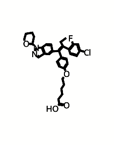 CC/C(=C(/c1ccc(OCCCCCC(=O)O)cc1)c1ccc2c(cnn2C2CCCCO2)c1)c1ccc(Cl)cc1F